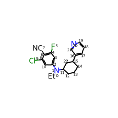 CCN(c1cc(F)c(C#N)c(Cl)c1)C1CCCC(c2cccnc2)C1